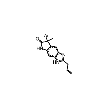 C=CCc1nc2cc3c(cc2[nH]1)NC(=O)C3(C)C(C)=O